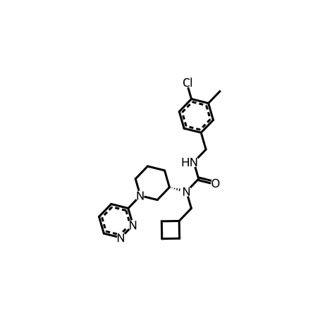 Cc1cc(CNC(=O)N(CC2CCC2)[C@H]2CCCN(c3cccnn3)C2)ccc1Cl